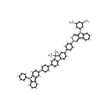 Cc1cc(C)cc(-n2c3c(c4ccccc42)=CC(c2ccc(-c4ccc5c(c4)C(C)(C)c4cc(-c6ccc(-c7ccc8c(c7)c7ccccc7n8-c7ccccc7)cc6)ccc4-5)cc2)CC=3)c1